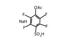 CC(=O)Oc1c(F)c(F)c(S(=O)(=O)O)c(F)c1F.[NaH]